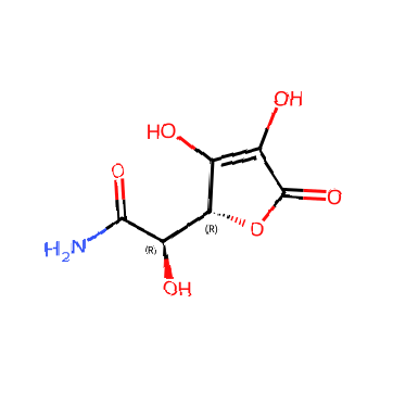 NC(=O)[C@H](O)[C@H]1OC(=O)C(O)=C1O